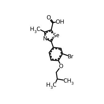 Cc1nc(-c2ccc(OCC(C)C)c(Br)c2)[se]c1C(=O)O